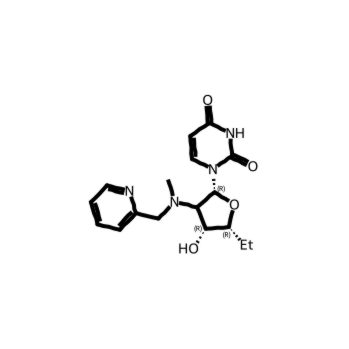 CC[C@H]1O[C@@H](n2ccc(=O)[nH]c2=O)C(N(C)Cc2ccccn2)[C@H]1O